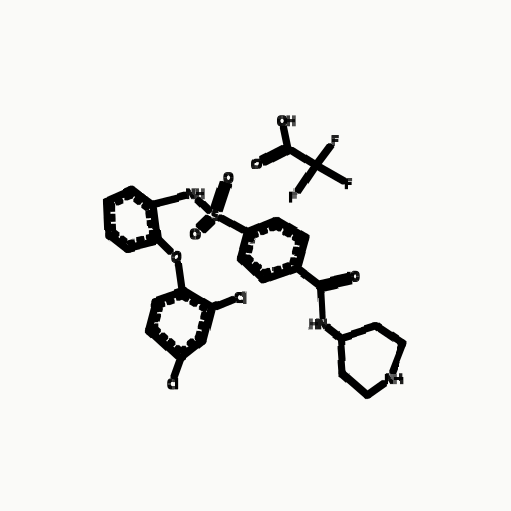 O=C(NC1CCNCC1)c1ccc(S(=O)(=O)Nc2ccccc2Oc2ccc(Cl)cc2Cl)cc1.O=C(O)C(F)(F)F